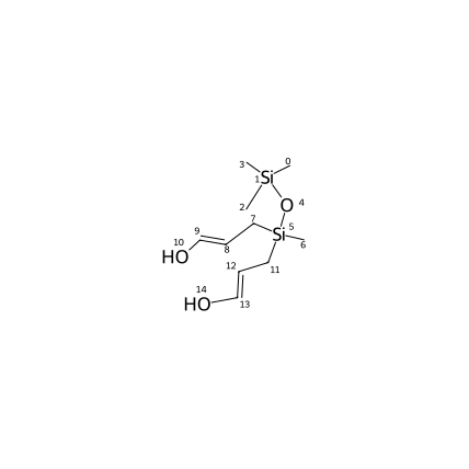 C[Si](C)(C)O[Si](C)(CC=CO)CC=CO